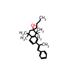 CCCCC1(O)CC(C)(C)c2ccc(/C(C)=C/c3ccccc3)cc2C1(C)C